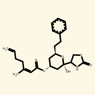 C=CCCC(C)=CC(=O)O[C@@H]1C[C@@H](CCc2ccccc2)O[C@@](O)(C2CSC(=O)N2)C1